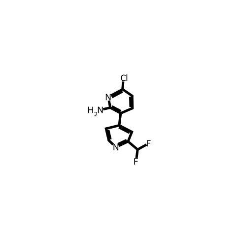 Nc1nc(Cl)ccc1-c1ccnc(C(F)F)c1